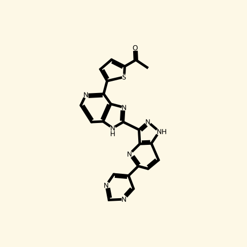 CC(=O)c1ccc(-c2nccc3[nH]c(-c4n[nH]c5ccc(-c6cncnc6)nc45)nc23)s1